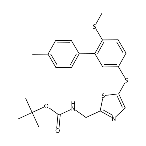 CSc1ccc(Sc2cnc(CNC(=O)OC(C)(C)C)s2)cc1-c1ccc(C)cc1